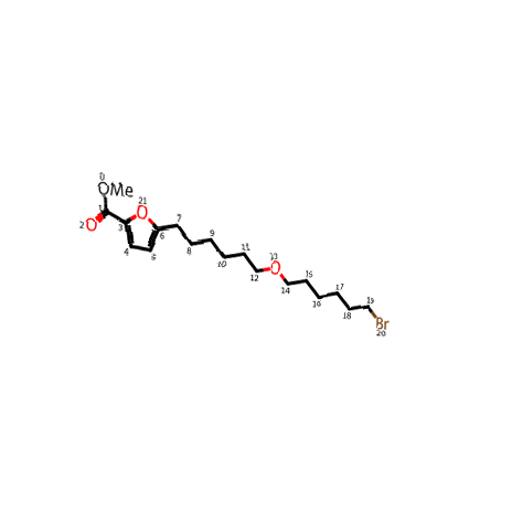 COC(=O)c1ccc(CCCCCCOCCCCCCBr)o1